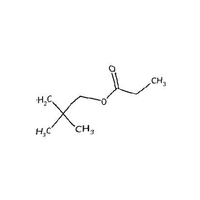 [CH2]C(C)(C)COC(=O)CC